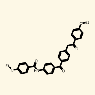 CCOc1ccc(C(=O)Cc2ccc(C(=O)c3ccc(NC(=O)c4ccc(OCC)cc4)cc3)cc2)cc1